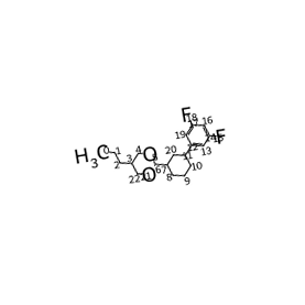 CCCC1COC(C2CCCC(c3cc(F)cc(F)c3)C2)OC1